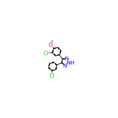 COc1ccc(-c2n[nH]nc2-c2cccc(Cl)c2)cc1Cl